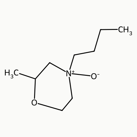 CCCC[N+]1([O-])CCOC(C)C1